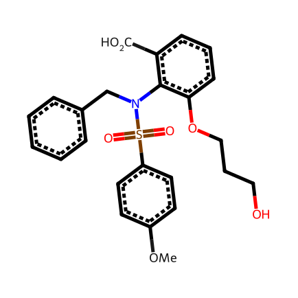 COc1ccc(S(=O)(=O)N(Cc2ccccc2)c2c(OCCCO)cccc2C(=O)O)cc1